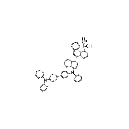 CC1(C)c2cccc3cc(-c4ccc(N(c5ccccc5)c5ccc(-c6ccc(N(c7ccccc7)c7ccccc7)cc6)cc5)c5ccccc45)c4cccc1c4c23